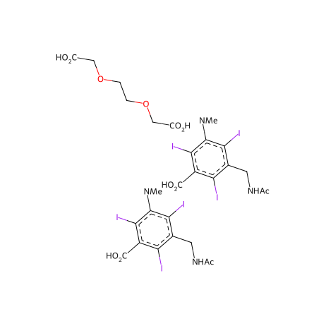 CNc1c(I)c(CNC(C)=O)c(I)c(C(=O)O)c1I.CNc1c(I)c(CNC(C)=O)c(I)c(C(=O)O)c1I.O=C(O)COCCOCC(=O)O